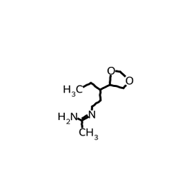 CCC(CCN=C(C)N)C1COCO1